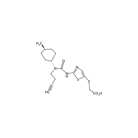 C#CCCN(C(=O)Nc1ncc(SCC(=O)O)s1)[C@H]1CC[C@H](C)CC1